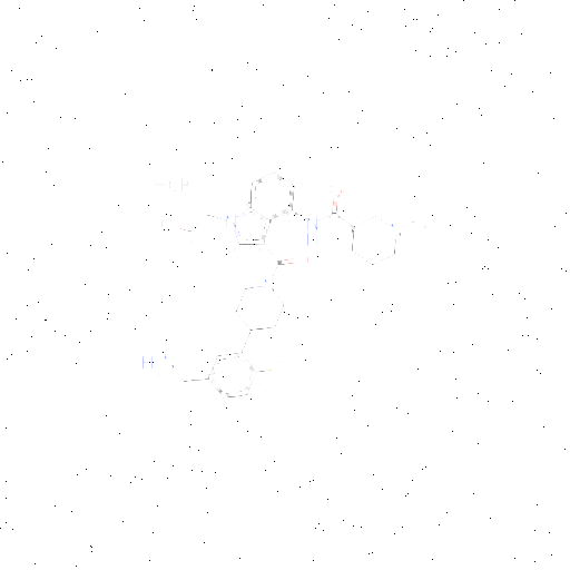 COCCn1cc(C(=O)N2CCC(c3cc(CN)ccc3F)CC2)c2c(NC(=O)C3CCCN(C)C3)cccc21.Cl